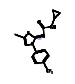 Cc1cn(-c2ccc(C(F)(F)F)cc2)/c(=N/C(=O)NC2CC2)s1